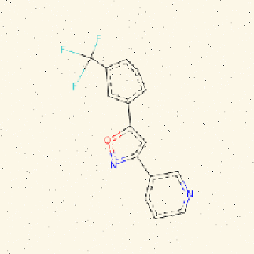 FC(F)(F)c1cccc(-c2cc(-c3cccnc3)no2)c1